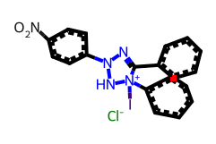 O=[N+]([O-])c1ccc(N2N=C(c3ccccc3)[N+](I)(c3ccccc3)N2)cc1.[Cl-]